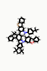 CC(C)(C)c1ccc(N2B3c4cc5c(cc4-n4c6cc7c(cc6c6c8c(c(c3c64)-c3cc4sc6ccccc6c4cc32)C(C)(C)c2ccccc2-8)C(C)(C)CCC7(C)C)oc2ccccc25)cc1